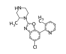 Cc1cccnc1-c1cc(Cl)cc2nc(N3CCNCC3C)oc12